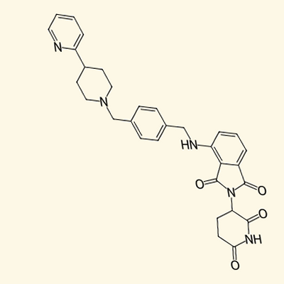 O=C1CCC(N2C(=O)c3cccc(NCc4ccc(CN5CCC(c6ccccn6)CC5)cc4)c3C2=O)C(=O)N1